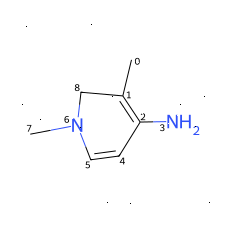 CC1=C(N)C=CN(C)C1